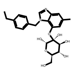 CCc1ccc(Cn2cnc3cc(C)cc(O[C@]4(O)[C@@H](O)O[C@H](CO)[C@@H](O)[C@@H]4O)c32)cc1